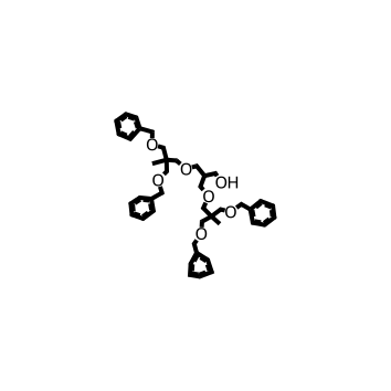 CC(COCc1ccccc1)(COCc1ccccc1)COCC(CO)COCC(C)(COCc1ccccc1)COCc1ccccc1